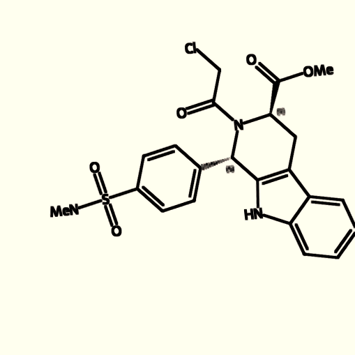 CNS(=O)(=O)c1ccc([C@H]2c3[nH]c4ccccc4c3C[C@H](C(=O)OC)N2C(=O)CCl)cc1